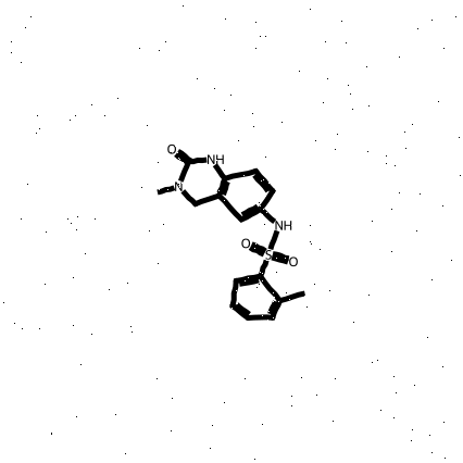 Cc1ccccc1S(=O)(=O)Nc1ccc2c(c1)CN(C)C(=O)N2